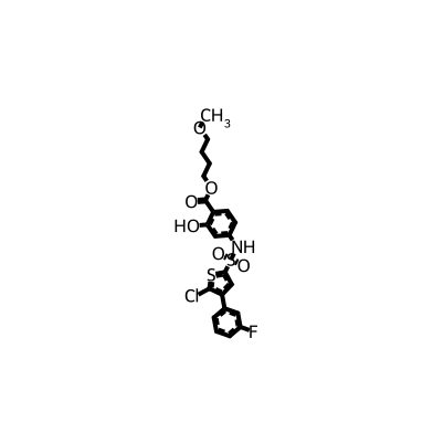 COCCCCOC(=O)c1ccc(NS(=O)(=O)c2cc(-c3cccc(F)c3)c(Cl)s2)cc1O